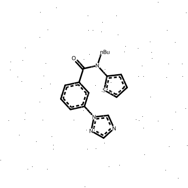 CCCCN(C(=O)c1cccc(-n2cncn2)c1)c1cccs1